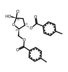 Cc1ccc(C(=O)OC[C@H]2O[C@](O)(Cl)C[C@@H]2OC(=O)c2ccc(C)cc2)cc1